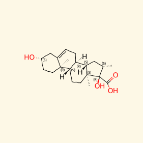 C[C@H]1C[C@H]2[C@@H]3CC=C4C[C@@H](O)CC[C@]4(C)[C@H]3CC[C@]2(C)[C@@]1(O)C(=O)O